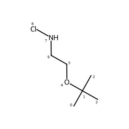 CC(C)(C)OCCNCl